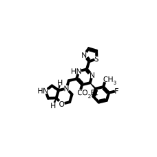 CCOC(=O)C1=C(CN2CCO[C@@H]3CNC[C@@H]32)NC(c2nccs2)=N[C@H]1c1cccc(F)c1C